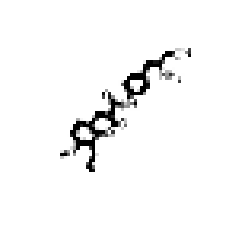 CCCc1c(OC)ccc2cc(C(=O)Nc3ccc(C[C@H](N)CO)cc3)c(=O)oc12